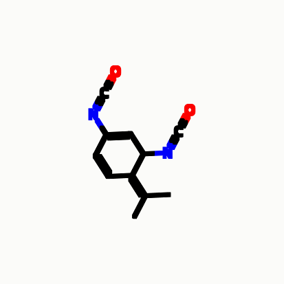 CC(C)=C1C=CC(N=C=O)=CC1N=C=O